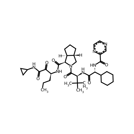 CCC[C@H](NC(=O)[C@H]1[C@H]2CCC[C@@H]2CN1C(=O)[C@@H](NC(=O)[C@H](NC(=O)c1cnccn1)C1CCCCC1)C(C)(C)C)C(=O)C(=O)NC1CC1